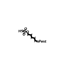 CCCCCCCCCCOS(=O)(=O)S